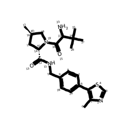 Cc1ncsc1-c1ccc(CNC(=O)[C@@H]2C[C@@H](C)CN2C(=O)C(N)C(C)(C)C)cc1